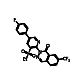 CCS(=O)(=O)c1cc(-c2ccc(F)cc2)cnc1-n1ncc2ccc(C(F)(F)F)cc2c1=O